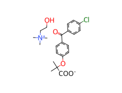 CC(C)(Oc1ccc(C(=O)c2ccc(Cl)cc2)cc1)C(=O)[O-].C[N+](C)(C)CCO